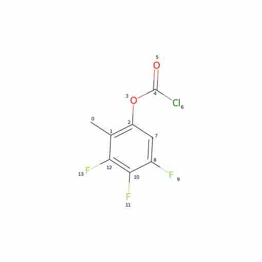 Cc1c(OC(=O)Cl)cc(F)c(F)c1F